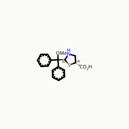 COC(c1ccccc1)(c1ccccc1)[C@H]1NC[C@H](C(=O)O)S1